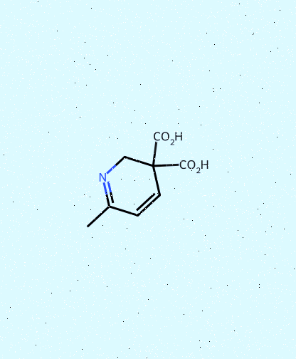 CC1=NCC(C(=O)O)(C(=O)O)C=C1